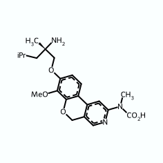 COc1c(OC[C@@](C)(N)CC(C)C)ccc2c1OCc1cnc(N(C)C(=O)O)cc1-2